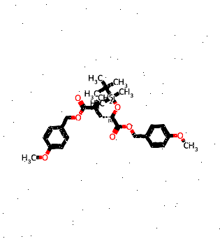 C=C(C[C@H](O[Si](C)(C)C(C)(C)C)C(=O)OCc1ccc(OC)cc1)C(=O)OCc1ccc(OC)cc1